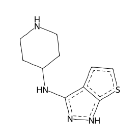 c1cc2c(NC3CCNCC3)n[nH]c2s1